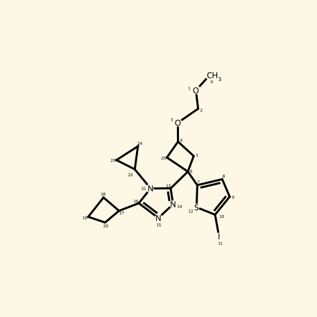 COCOC1CC(c2ccc(I)s2)(c2nnc(C3CCC3)n2C2CC2)C1